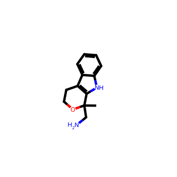 CC1(CN)OCCc2c1[nH]c1ccccc21